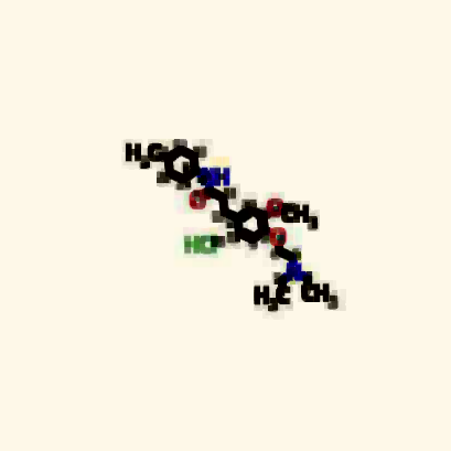 CCN(CC)CCOc1ccc(CCC(=O)NC2CCC(C)CC2)cc1OC.Cl